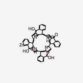 O=C(O)c1ccccc1-c1c2nc(c(-c3ccccc3C(=O)O)c3ccc([nH]3)c(-c3ccccc3C(=O)O)c3nc(c(-c4ccccc4C(=O)O)c4ccc1[nH]4)C=C3)C=C2.[Zn]